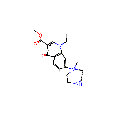 CCn1cc(C(=O)OC)c(=O)c2cc(F)c([N+]3(C)CCNCC3)cc21